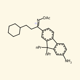 CCCC1(CCC)c2cc(N)ccc2-c2ccc(/C(CCC3CCCCC3)=N\OC(C)=O)cc21